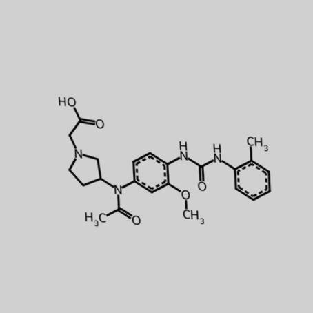 COc1cc(N(C(C)=O)C2CCN(CC(=O)O)C2)ccc1NC(=O)Nc1ccccc1C